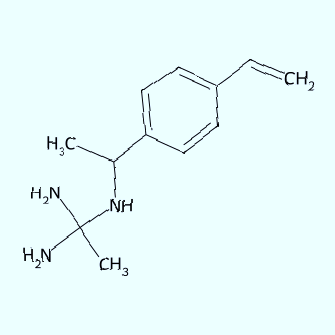 C=Cc1ccc(C(C)NC(C)(N)N)cc1